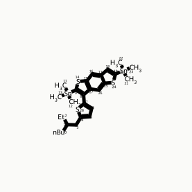 CCCCC(CC)Cc1ccc(-c2[c]([Sn]([CH3])([CH3])[CH3])sc3cc4c[c]([Sn]([CH3])([CH3])[CH3])sc4cc23)s1